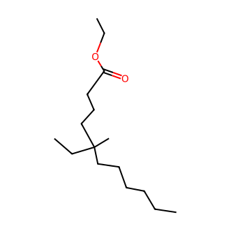 CCCCCCC(C)(CC)CCCC(=O)OCC